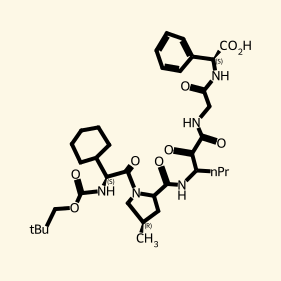 CCCC(NC(=O)C1C[C@@H](C)CN1C(=O)[C@@H](NC(=O)OCC(C)(C)C)C1CCCCC1)C(=O)C(=O)NCC(=O)N[C@H](C(=O)O)c1ccccc1